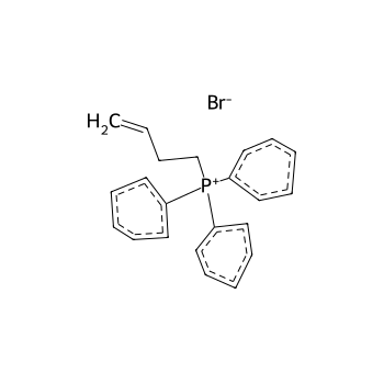 C=CCC[P+](c1ccccc1)(c1ccccc1)c1ccccc1.[Br-]